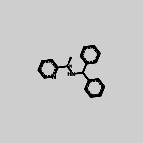 C[C@@H](NC(c1ccccc1)c1ccccc1)c1ccccn1